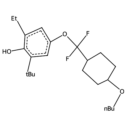 CCCCOC1CCC(C(F)(F)Oc2cc(CC)c(O)c(C(C)(C)C)c2)CC1